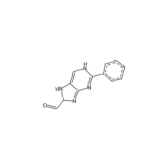 O=CC1N=C2N=C(c3ccccc3)NC=C2N1